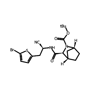 CC(C)(C)OC(=O)N1[C@@H]2CC[C@@H](C2)[C@H]1C(=O)N[C@H](C#N)Cc1ccc(Br)s1